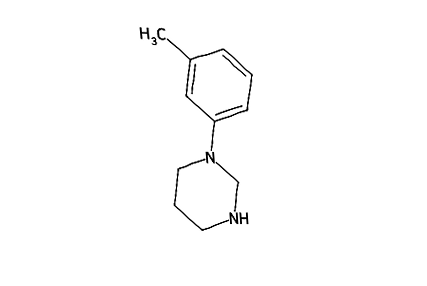 Cc1cccc(N2CCCNC2)c1